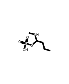 CCCC(NC)SS(=O)(=O)O